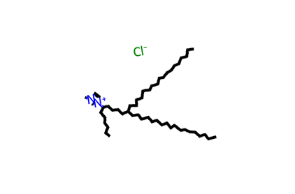 CCCCCCCCCCCCCCCCCCC(CCCCCCCCCCCCCCCCCC)CCCCC(CCCCCC)[n+]1ccn(C)c1.[Cl-]